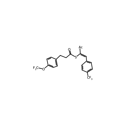 CC(=O)/C(=C/c1ccc(C(F)(F)F)cc1)SC(=O)CCc1ccc(OC(F)(F)F)cc1